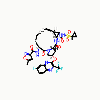 Cc1cc(C(=O)N[C@H]2CCCCCC=C[C@@H]3C[C@@]3(C(=O)NS(=O)(=O)C3(C)CC3)NC(=O)[C@@H]3C[C@@H](Oc4nc5cc(F)ccc5nc4C(F)(F)F)CN3C2=O)no1